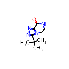 CC(C)(C)c1nnc2n1CCNC2=O